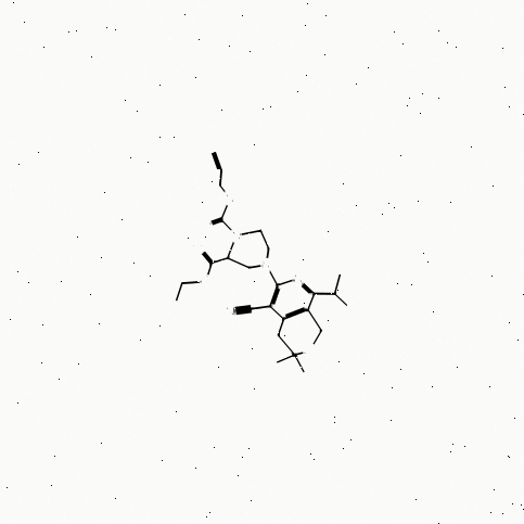 C=CCNC(=O)N1CCN(c2nc(C(C)C)c3c(c2C#N)CC(C)(C)OC3)CC1C(=O)OCC